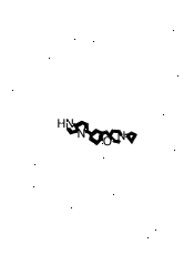 c1cc2nc(-c3ccc4c(c3)CC3(CCN(C5CCC5)CC3)O4)ccc2[nH]1